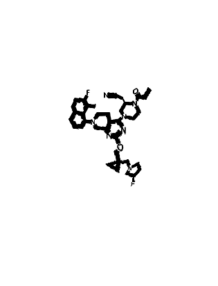 C=CC(=O)N1CCN(c2nc(OCC3(CN4CC[C@@H](F)C4)CC3)nc3c2CCN(c2cccc4ccc(F)c(C)c24)C3)C[C@@H]1CC#N